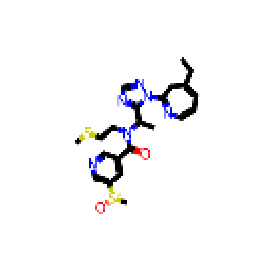 CCC1=CC=CN=C(n2ncnc2C(C)N(CCSC)C(=O)c2cncc([S+](C)[O-])c2)C1